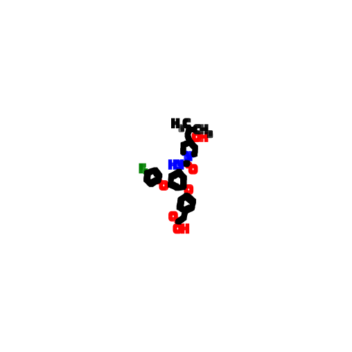 CC(C)CC1(O)CCN(C(=O)Nc2cc(Oc3ccc(F)cc3)cc(Oc3ccc(CC(=O)O)cc3)c2)CC1